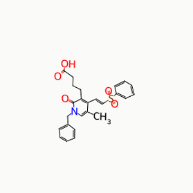 Cc1cn(Cc2ccccc2)c(=O)c(CCCC(=O)O)c1/C=C/S(=O)(=O)c1ccccc1